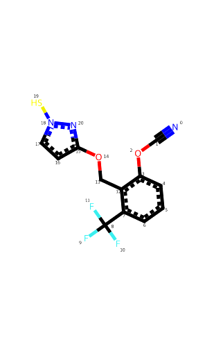 N#COc1cccc(C(F)(F)F)c1COc1ccn(S)n1